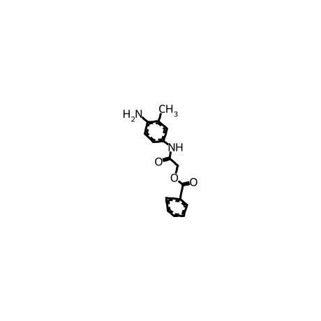 Cc1cc(NC(=O)COC(=O)c2ccccc2)ccc1N